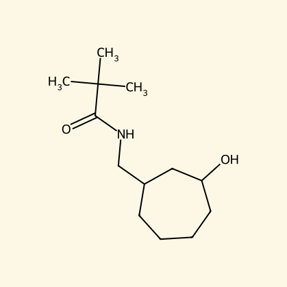 CC(C)(C)C(=O)NCC1CCCCC(O)C1